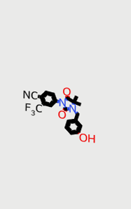 CC1(C)C(=O)N(c2ccc(C#N)c(C(F)(F)F)c2)C(=O)N1Cc1cccc(O)c1